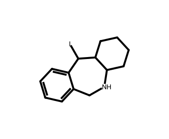 IC1c2ccccc2CNC2CCCCC21